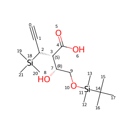 C#CC([C@H](C(=O)O)[C@@H](O)CO[Si](C)(C)C(C)(C)C)[Si](C)(C)C